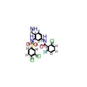 NCc1ccc(NC(=O)c2c(F)cccc2Cl)cc1NS(=O)(=O)c1ccc(Cl)c(Cl)c1